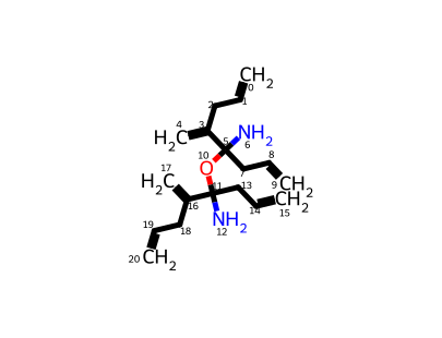 C=CCC(=C)C(N)(CC=C)OC(N)(CC=C)C(=C)CC=C